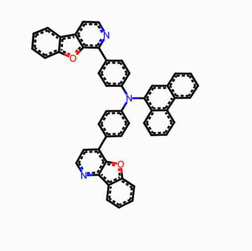 c1ccc2c(c1)cc(N(c1ccc(-c3nccc4c3oc3ccccc34)cc1)c1ccc(-c3ccnc4c3oc3ccccc34)cc1)c1ccccc12